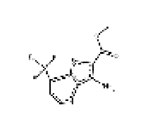 COC(=O)c1sc2c(C(F)(F)F)ccnc2c1N